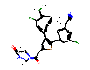 N#Cc1cc(F)cc(-c2sc(C(=O)N3CNC(=O)C3)cc2-c2ccc(F)c(Cl)c2)c1